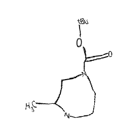 CC1CN(C(=O)OC(C)(C)C)CC[N]1